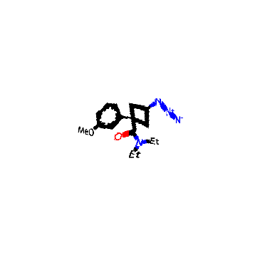 CCN(CC)C(=O)[C@]1(c2cccc(OC)c2)C[C@@H](N=[N+]=[N-])C1